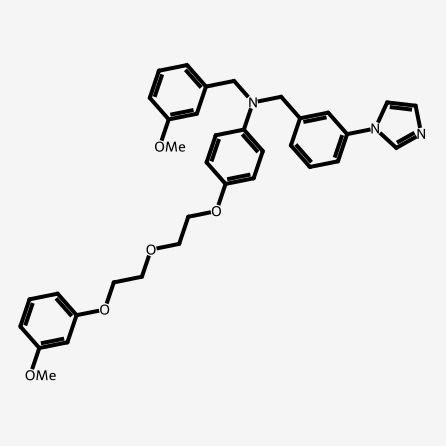 COc1cccc(CN(Cc2cccc(-n3ccnc3)c2)c2ccc(OCCOCCOc3cccc(OC)c3)cc2)c1